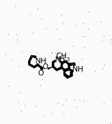 CN1C[C@H](COC(=O)C2CCCCCN2)CC2c3cccc4[nH]cc(c34)C[C@H]21